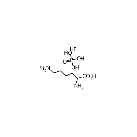 F.NCCCCC(N)C(=O)O.O=P(O)(O)O